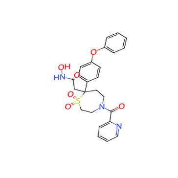 O=C(CC1(c2ccc(Oc3ccccc3)cc2)CCN(C(=O)c2ccccn2)CCS1(=O)=O)NO